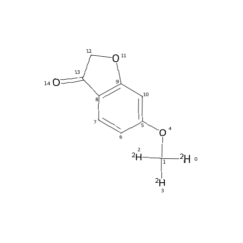 [2H]C([2H])([2H])Oc1ccc2c(c1)OCC2=O